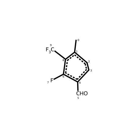 Cc1ccc(C=O)c(F)c1C(F)(F)F